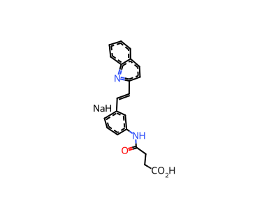 O=C(O)CCC(=O)Nc1cccc(C=Cc2ccc3ccccc3n2)c1.[NaH]